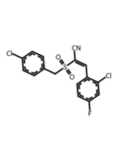 N#C/C(=C/c1ccc(F)cc1Cl)S(=O)(=O)Cc1ccc(Cl)cc1